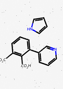 O=C(O)c1cccc(-c2cccnc2)c1C(=O)O.c1cc[nH]c1